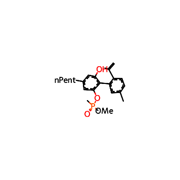 C=C(C)c1ccc(C)cc1-c1c(O)cc(CCCCC)cc1OP(C)(=O)OC